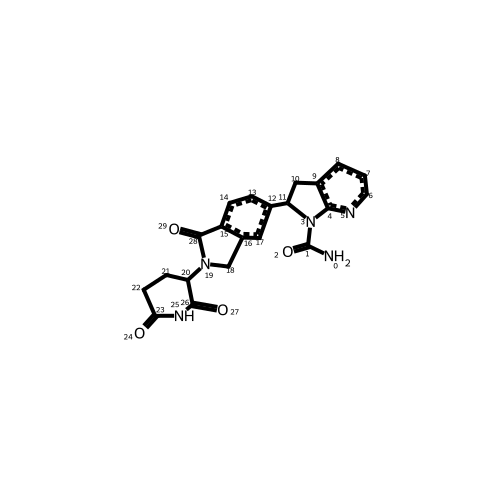 NC(=O)N1c2ncccc2CC1c1ccc2c(c1)CN(C1CCC(=O)NC1=O)C2=O